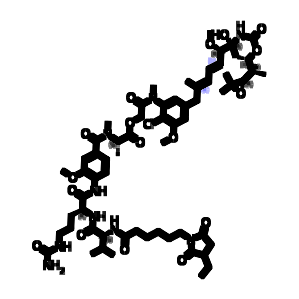 CCC1CC(=O)N(CCCCCC(=O)N[C@H](C(=O)N[C@@H](CCCNC(N)=O)C(=O)Nc2ccc(C(=O)N(C)[C@@H](C)C(=O)OCC(=O)N(C)c3cc(C/C(C)=C/C=C/[C@@H](OC)[C@@]4(O)C[C@@H]([C@@H](C)[C@@H]5OC5(C)C)OC(=O)N4)cc(OC)c3Cl)cc2OC)C(C)C)C1=O